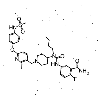 CCCCN(C(=O)Nc1ccc(F)c(C(N)=O)c1)C1CCN(Cc2ccc(Oc3ccc(NS(C)(=O)=O)cc3)nc2C)CC1